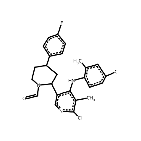 Cc1cc(Cl)ccc1Nc1c(C2CC(c3ccc(F)cc3)CCN2C=O)cnc(Cl)c1C